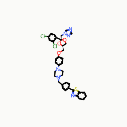 Clc1ccc([C@]2(Cn3cncn3)OC[C@@H](COc3ccc(N4CCN(Cc5ccc(-c6nc7ccccc7s6)cc5)CC4)cc3)O2)c(Cl)c1